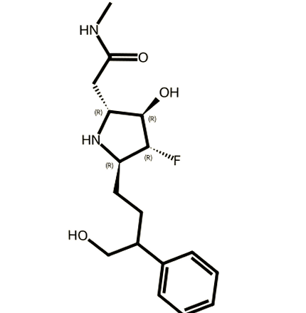 CNC(=O)C[C@H]1N[C@H](CCC(CO)c2ccccc2)[C@@H](F)[C@@H]1O